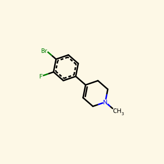 CN1CC=C(c2ccc(Br)c(F)c2)CC1